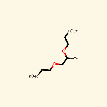 CCCCCCCCCCCCOCC(CC)OCCCCCCCCCCCC